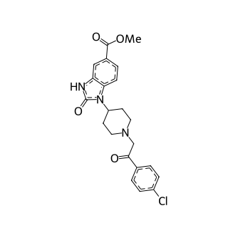 COC(=O)c1ccc2c(c1)[nH]c(=O)n2C1CCN(CC(=O)c2ccc(Cl)cc2)CC1